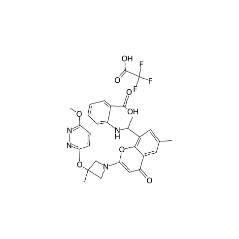 COc1ccc(OC2(C)CN(c3cc(=O)c4cc(C)cc(C(C)Nc5ccccc5C(=O)O)c4o3)C2)nn1.O=C(O)C(F)(F)F